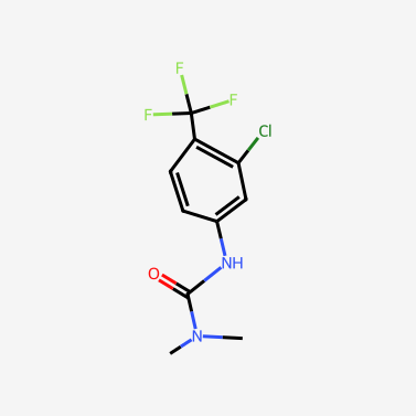 CN(C)C(=O)Nc1ccc(C(F)(F)F)c(Cl)c1